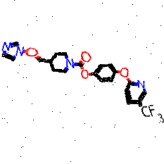 O=C(Oc1ccc(Oc2ccc(C(F)(F)F)cn2)cc1)N1CCC(COn2ccnc2)CC1